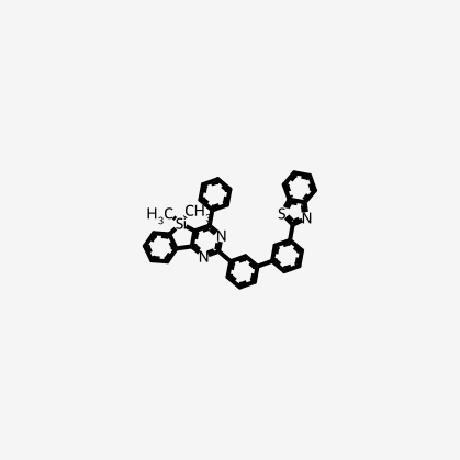 C[Si]1(C)c2ccccc2-c2nc(-c3cccc(-c4cccc(-c5nc6ccccc6s5)c4)c3)nc(-c3ccccc3)c21